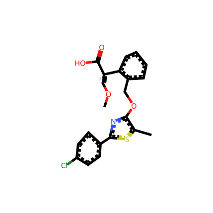 CO/C=C(/C(=O)O)c1ccccc1COc1nc(-c2ccc(Cl)cc2)sc1C